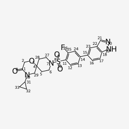 O=C1COC2(CCN(S(=O)(=O)c3ccc(-c4ccc5[nH]ncc5c4)cc3F)CC2)CN1C1CC1